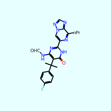 CCCc1nc(-c2nc(NC=O)c(C(C)(C)c3ccc(F)cc3)c(=O)[nH]2)cn2ncnc12